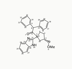 CON=C1CC[N+](C(=O)C(c2ccccc2)c2ccccc2)(c2nc3ccccc3[nH]2)C1